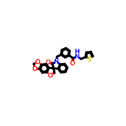 O=C(NCc1cccs1)c1cccc(CN2C(=O)C3(COc4cc5c(cc43)OCO5)c3ccccc32)c1